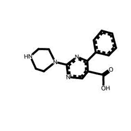 O=C(O)c1cnc(N2CCNCC2)nc1-c1ccccc1